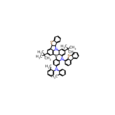 Cc1ccccc1N(c1ccc2c(c1)N(c1cccc3c1sc1ccccc13)C1=CC(C(C)(C)C)=CC3C1B2c1cc(C(C)(C)C)cc2c1N3C1c3ccccc3SC21)c1ccccc1C